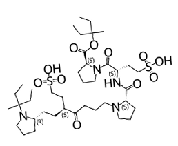 CCC(C)(CC)OC(=O)[C@@H]1CCCN1C(=O)[C@H](CCS(=O)(=O)O)NC(=O)[C@@H]1CCCN1CCCC(=O)[C@@H](CC[C@@H]1CCCN1C(C)(CC)CC)CCS(=O)(=O)O